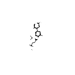 CC(C)n1c(CCC(C)(C)ON=O)nc2c(F)cc(-c3cc(N)ncc3F)cc21